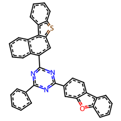 c1ccc(-c2nc(-c3ccc4c(c3)oc3ccccc34)nc(-c3cc4sc5ccccc5c4c4ccccc34)n2)cc1